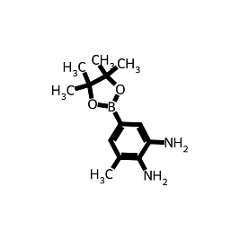 Cc1cc(B2OC(C)(C)C(C)(C)O2)cc(N)c1N